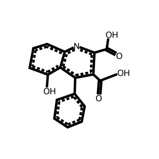 O=C(O)c1nc2cccc(O)c2c(-c2ccccc2)c1C(=O)O